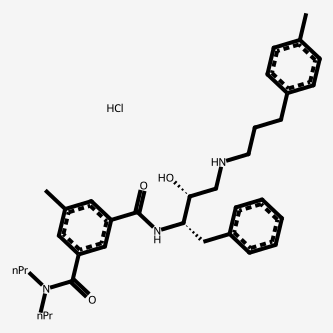 CCCN(CCC)C(=O)c1cc(C)cc(C(=O)N[C@@H](Cc2ccccc2)[C@H](O)CNCCCc2ccc(C)cc2)c1.Cl